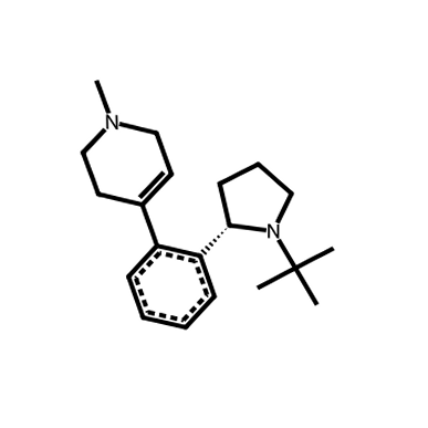 CN1CC=C(c2ccccc2[C@@H]2CCCN2C(C)(C)C)CC1